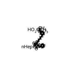 CCCCCCCn1c(=O)c(OCCCCCc2cccc(OC(C)(C)C(=O)O)c2)nn(Cc2ccccc2)c1=O